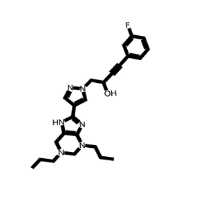 CCCN1Cc2[nH]c(-c3cnn(CC(O)C#Cc4cccc(F)c4)c3)nc2N(CCC)C1